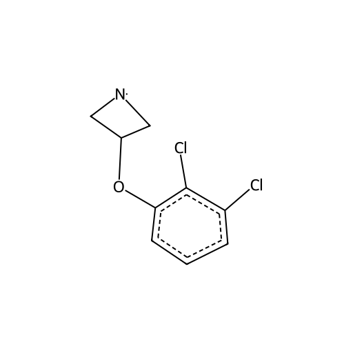 Clc1cccc(OC2C[N]C2)c1Cl